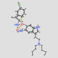 CCCCN(CCCC)CCc1c[nH]c2ccc(NS(=O)(=O)Nc3sc4ccc(Cl)cc4c3C)cc12